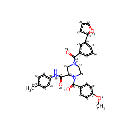 COc1ccc(C(=O)N2CCN(C(=O)c3cccc(-c4ccco4)c3)CC2C(=O)Nc2ccc(C)cc2)cc1